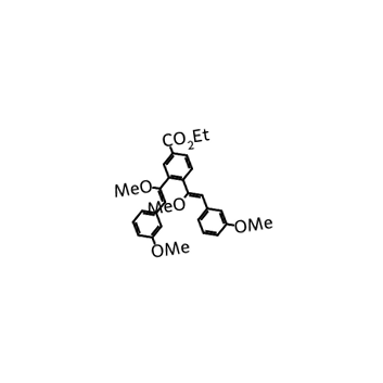 CCOC(=O)c1ccc(C(=Cc2cccc(OC)c2)OC)c(C(=Cc2cccc(OC)c2)OC)c1